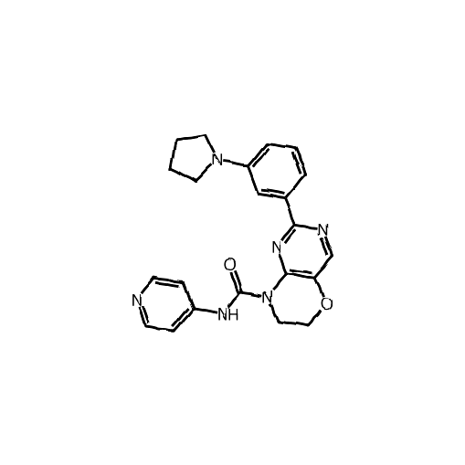 O=C(Nc1ccncc1)N1CCOc2cnc(-c3cccc(N4CCCC4)c3)nc21